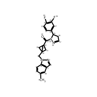 Cc1ccc2c(cnn2CC23CC(C(=O)N4N=CCC4c4ccc(F)c(F)c4)(C2)C3)c1